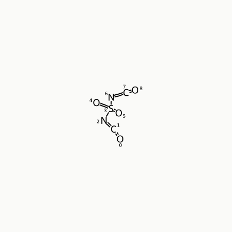 O=C=NS(=O)(=O)N=C=O